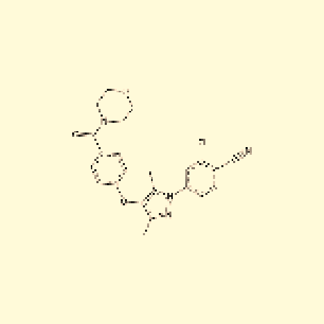 Cc1nn(-c2ccc(C#N)c(Cl)c2)c(C)c1Oc1ccc(C(=O)N2CCOCC2)cc1